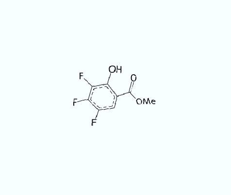 COC(=O)c1cc(F)c(F)c(F)c1O